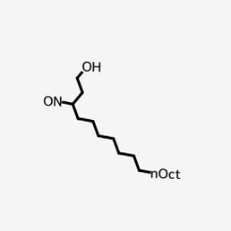 CCCCCCCCCCCCCCCC(CCO)N=O